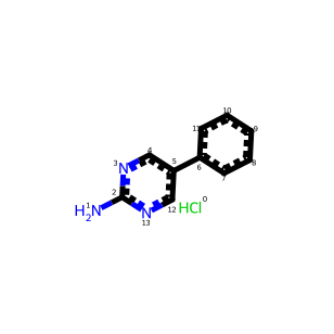 Cl.Nc1ncc(-c2ccccc2)cn1